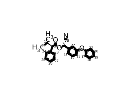 CC(C)[C@@H](C(=O)O[C@H](C#N)c1cccc(Oc2ccccc2)c1)c1ccccc1